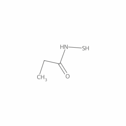 CCC(=O)NS